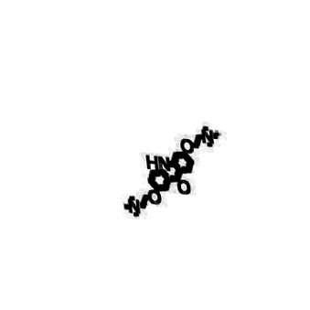 C[N+](C)(C)CCOc1ccc2c(=O)c3cc(OCC[N+](C)(C)C)ccc3[nH]c2c1